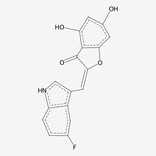 O=C1/C(=C\c2c[nH]c3ccc(F)cc23)Oc2cc(O)cc(O)c21